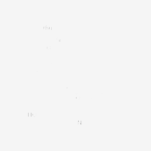 CC(O)(c1ccc(O[Si](C)(C)C(C)(C)C)cc1)c1nc2ccccc2o1